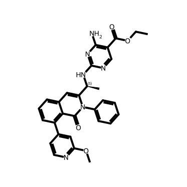 CCOC(=O)c1cnc(N[C@@H](C)c2cc3cccc(-c4ccnc(OC)c4)c3c(=O)n2-c2ccccc2)nc1N